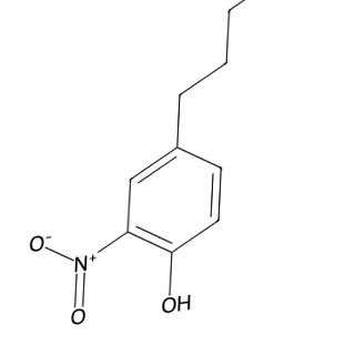 CCCCc1ccc(O)c([N+](=O)[O-])c1